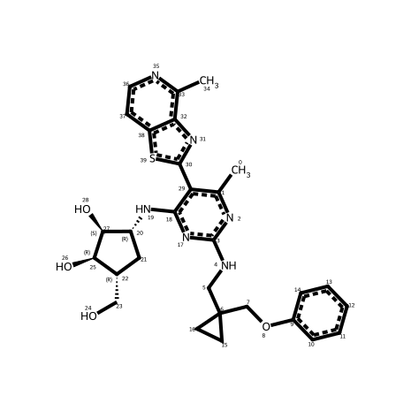 Cc1nc(NCC2(COc3ccccc3)CC2)nc(N[C@@H]2C[C@H](CO)[C@@H](O)[C@H]2O)c1-c1nc2c(C)nccc2s1